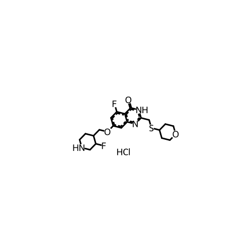 Cl.O=c1[nH]c(CSC2CCOCC2)nc2cc(OCC3CCNCC3F)cc(F)c12